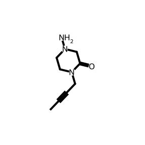 CC#CCN1CCN(N)CC1=O